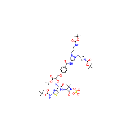 CC(C)(C)OC(=O)NCCCn1cc(NC(=O)c2ccc(OCC(ON=C(C(=O)NC3C(=O)N(OS(=O)(=O)[O-])C3(C)C)c3csc(NC(=O)OC(C)(C)C)n3)C(=O)OC(C)(C)C)cc2)c[n+]1CC1CN(C(=O)OC(C)(C)C)C1